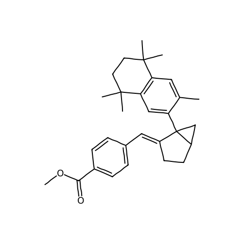 COC(=O)c1ccc(/C=C2\CCC3CC23c2cc3c(cc2C)C(C)(C)CCC3(C)C)cc1